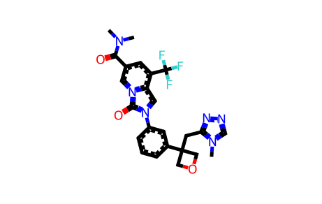 CN(C)C(=O)c1cc(C(F)(F)F)c2cn(-c3cccc(C4(Cc5nncn5C)COC4)c3)c(=O)n2c1